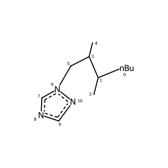 CCCCC(C)C(C)Cn1cncn1